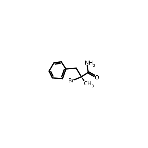 C[C@@](Br)(Cc1ccccc1)C(N)=O